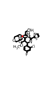 COC(=O)C1=C(CN2C3COCC2CN(C(=O)CO)C3)NC(c2nccs2)=NC1c1ccc(F)cc1Cl